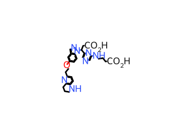 O=C(O)CCCNc1cncc(C(CC(=O)O)n2ncc3cc(OCCc4ccc5c(n4)CCCN5)ccc32)n1